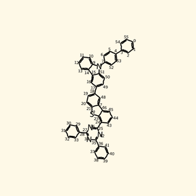 c1ccc(-c2ccc(-n3c4ccccc4c4cc(-c5ccc6sc7c(-c8nc(-c9ccccc9)nc(-c9ccccc9)n8)cccc7c6c5)ccc43)cc2)cc1